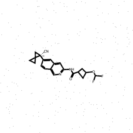 N#C[C@@]1(c2ccc3cnc(NC(=O)C4CC(OC(F)F)C4)cc3c2)CC12CC2